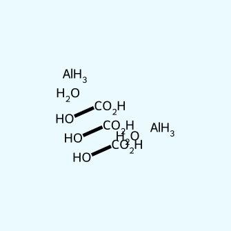 O.O.O=C(O)O.O=C(O)O.O=C(O)O.[AlH3].[AlH3]